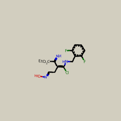 CCOC(=O)C(=N)/C(C/C=N/O)=C(/Cl)NCc1c(F)cccc1F